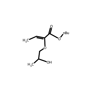 CC=C(OCC(C)O)C(=O)OCCCC